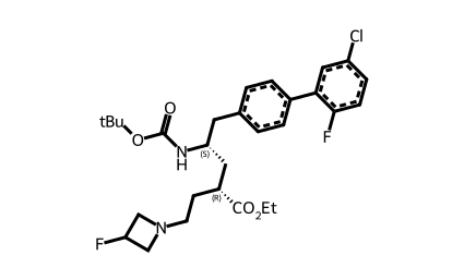 CCOC(=O)[C@H](CCN1CC(F)C1)C[C@@H](Cc1ccc(-c2cc(Cl)ccc2F)cc1)NC(=O)OC(C)(C)C